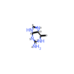 C=C1NC(N)=Nc2[nH]cnc21